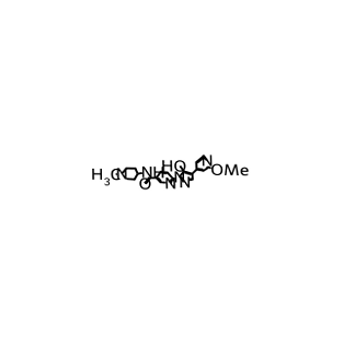 COc1cc(-c2cnn(-c3ccc(C(=O)NC4CCN(C)CC4)cn3)c2O)ccn1